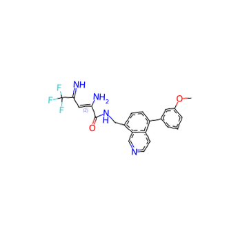 COc1cccc(-c2ccc(CNC(=O)/C(N)=C/C(=N)C(F)(F)F)c3cnccc23)c1